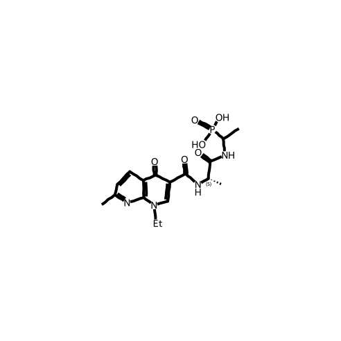 CCn1cc(C(=O)N[C@@H](C)C(=O)NC(C)P(=O)(O)O)c(=O)c2ccc(C)nc21